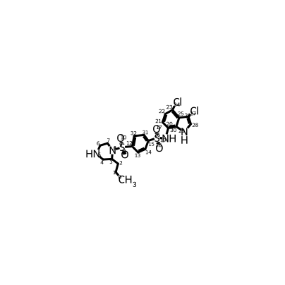 CCCC1CNCCN1S(=O)(=O)c1ccc(S(=O)(=O)Nc2ccc(Cl)c3c(Cl)c[nH]c23)cc1